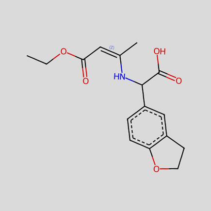 CCOC(=O)/C=C(/C)NC(C(=O)O)c1ccc2c(c1)CCO2